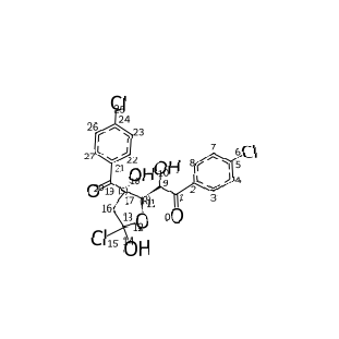 O=C(c1ccc(Cl)cc1)C(O)[C@H]1OC(O)(Cl)C[C@@]1(O)C(=O)c1ccc(Cl)cc1